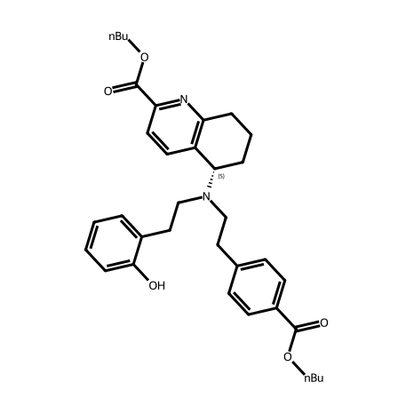 CCCCOC(=O)c1ccc(CCN(CCc2ccccc2O)[C@H]2CCCc3nc(C(=O)OCCCC)ccc32)cc1